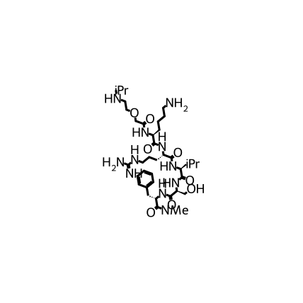 CNC(=O)[C@H](Cc1ccccc1)NC(=O)[C@H](CO)NC(=O)[C@@H](NC(=O)[C@H](CCCNC(=N)N)NC(=O)[C@H](CCCCN)NC(=O)COCCNC(C)C)C(C)C